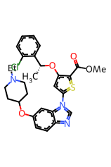 CCN1CCC(Oc2ccc3ncn(-c4cc(O[C@H](C)c5ccccc5Cl)c(C(=O)OC)s4)c3c2)CC1